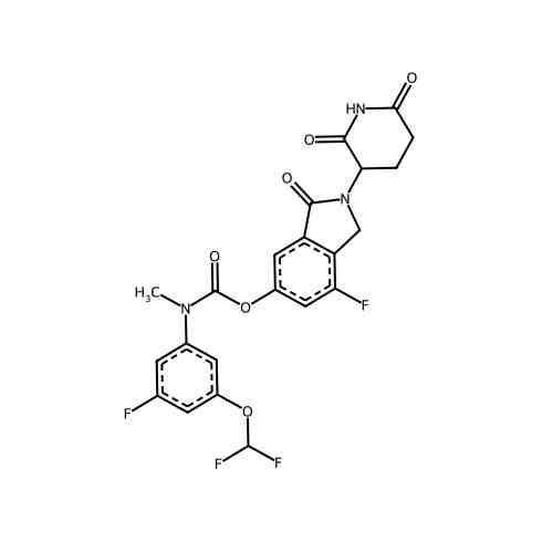 CN(C(=O)Oc1cc(F)c2c(c1)C(=O)N(C1CCC(=O)NC1=O)C2)c1cc(F)cc(OC(F)F)c1